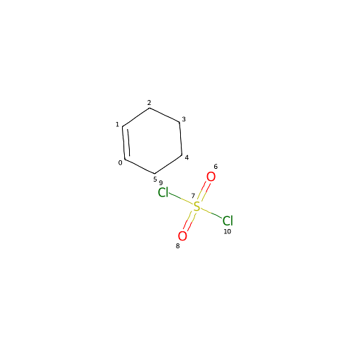 C1=CCCCC1.O=S(=O)(Cl)Cl